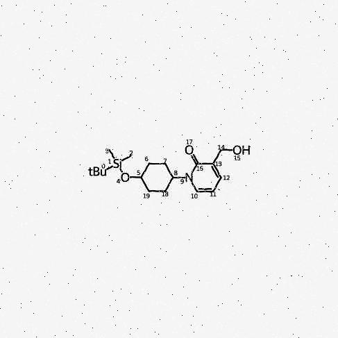 CC(C)(C)[Si](C)(C)OC1CCC(n2cccc(CO)c2=O)CC1